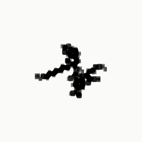 CCCCCCCC[S+]([O-])C(C)Cc1ccc2c(c1)OCO2.CSCC[C@H](Nc1ccc([N+](=O)[O-])cc1[N+](=O)[O-])C(=O)O